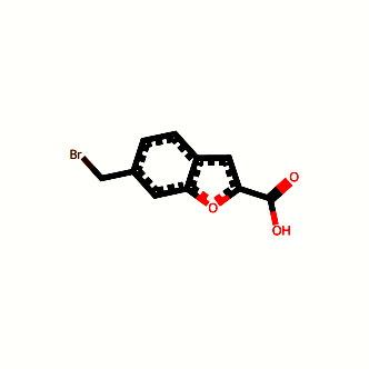 O=C(O)c1cc2ccc(CBr)cc2o1